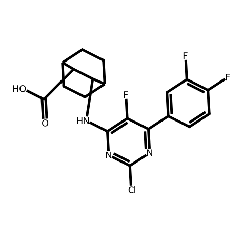 O=C(O)C1C2CCC(CC2)C1Nc1nc(Cl)nc(-c2ccc(F)c(F)c2)c1F